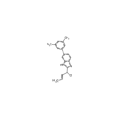 CC=CC(Cl)c1nc2ccc(-c3cc(C)cc(C)c3)cc2[nH]1